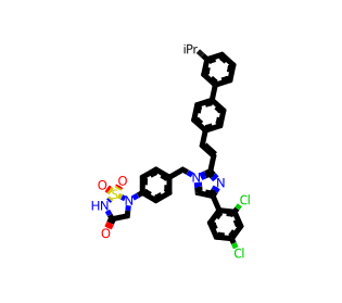 CC(C)c1cccc(-c2ccc(/C=C/c3nc(-c4ccc(Cl)cc4Cl)cn3Cc3ccc(N4CC(=O)NS4(=O)=O)cc3)cc2)c1